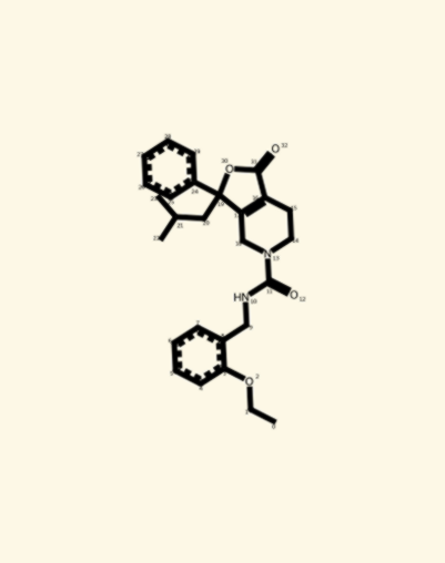 CCOc1ccccc1CNC(=O)N1CCC2=C(C1)C(CC(C)C)(c1ccccc1)OC2=O